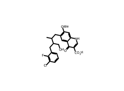 COc1cc2[nH]cc(C(=O)O)c(=O)c2cc1CC(C)C(CO)Cc1cccc(Cl)c1F